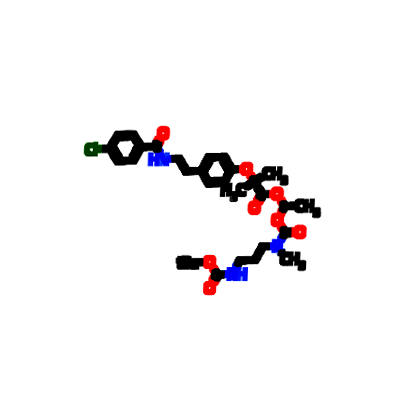 CC(OC(=O)N(C)CCCNC(=O)OC(C)(C)C)OC(=O)C(C)(C)Oc1ccc(CCNC(=O)c2ccc(Cl)cc2)cc1